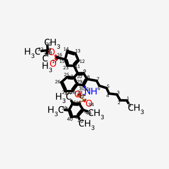 CCCCCCCCc1cc(-c2cccc(C(=O)OC(C)(C)C)c2)c2ccccc2c1NS(=O)(=O)c1c(C)c(C)cc(C)c1C